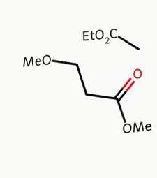 CCOC(C)=O.COCCC(=O)OC